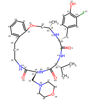 CC(C)[C@H]1NC(=O)[C@@H](Cc2ccc(O)c(F)c2)N[C@@H](C)COc2ccccc2CCCNC(=O)[C@H](CN2CCOCC2)NC1=O